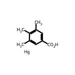 Cc1cc(C(=O)O)cc(C)c1C.[Hg]